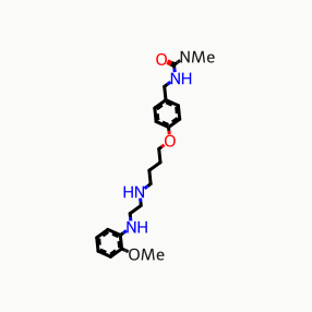 CNC(=O)NCc1ccc(OCCCCNCCNc2ccccc2OC)cc1